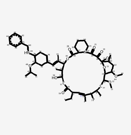 CCC1/C=C(\C)C(F)C(C)CC(OC)C2OC(O)(C(=O)C(=O)N3CCCCC3C(=O)OC(C(C)=CC3CCC(NCc4ccccc4)C(OC(C)C)C3)C(C)C(O)CC1=O)C(C)CC2OC